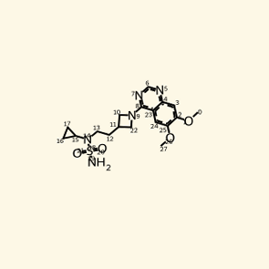 COc1cc2ncnc(N3CC(CCN(C4CC4)S(N)(=O)=O)C3)c2cc1OC